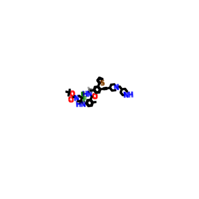 Cc1ccc(N[C@@H]2CN(C(=O)OC(C)(C)C)CC2(F)F)cc1C(=O)N[C@H](C)c1ccc(C#CC2CCN(CC3CCNCC3)CC2)c(-c2cccs2)c1